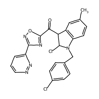 Cc1ccc2c(c1)C(C(=O)c1nc(-c3cccnn3)no1)C(Cl)N2Cc1ccc(Cl)cc1